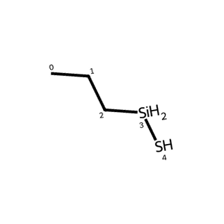 CCC[SiH2]S